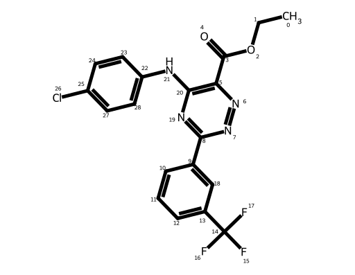 CCOC(=O)c1nnc(-c2cccc(C(F)(F)F)c2)nc1Nc1ccc(Cl)cc1